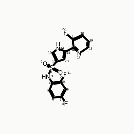 O=S(=O)(Nc1ccc(F)cc1F)c1c[nH]c(-c2ncccc2F)c1